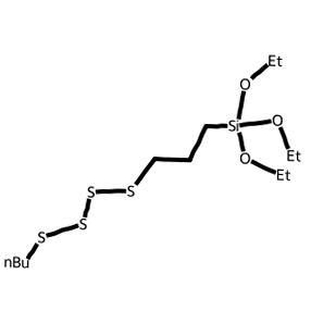 CCCCSSSSCCC[Si](OCC)(OCC)OCC